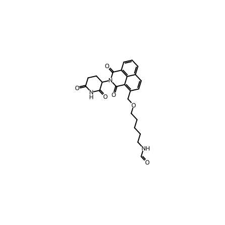 O=CNCCCCCOCc1ccc2cccc3c2c1C(=O)N(C1CCC(=O)NC1=O)C3=O